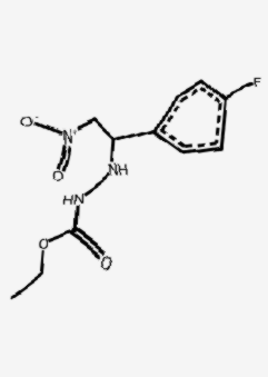 CCOC(=O)NNC(C[N+](=O)[O-])c1ccc(F)cc1